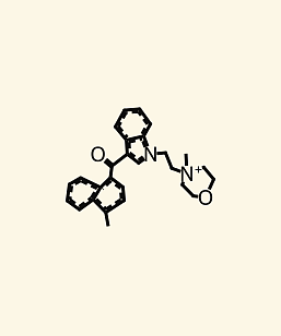 Cc1ccc(C(=O)c2cn(CC[N+]3(C)CCOCC3)c3ccccc23)c2ccccc12